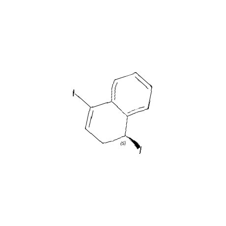 IC1=CC[C@H](I)c2ccccc21